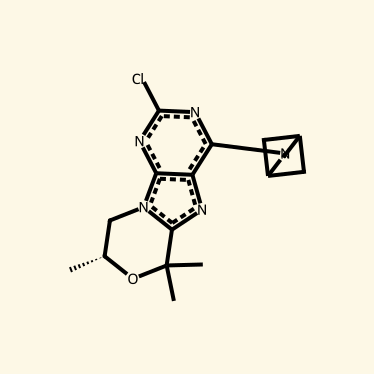 C[C@@H]1Cn2c(nc3c(N4CC5CC4C5)nc(Cl)nc32)C(C)(C)O1